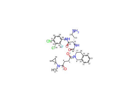 CN(C(=O)CCC(=O)N1Cc2ccccc2C[C@H]1C(=O)N[C@@H](CCN)C(=O)Nc1ccc(Cl)c(Cl)c1F)C1CC1